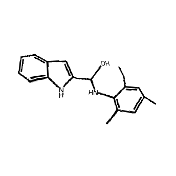 Cc1cc(C)c(NC(O)c2cc3ccccc3[nH]2)c(C)c1